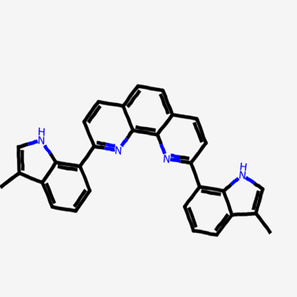 Cc1c[nH]c2c(-c3ccc4ccc5ccc(-c6cccc7c(C)c[nH]c67)nc5c4n3)cccc12